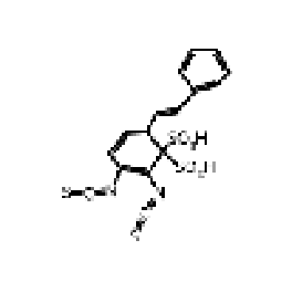 O=S(=O)(O)C1(S(=O)(=O)O)C(N=C=S)=C(N=C=S)C=CC1C=Cc1ccccc1